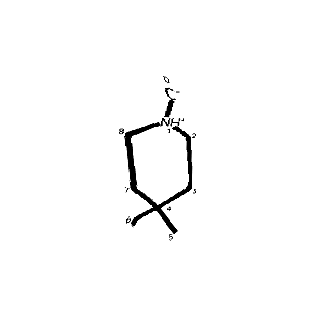 [CH2-][NH+]1CCC(C)(C)CC1